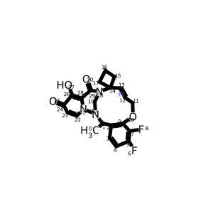 CC1c2ccc(F)c(F)c2OC/C=C/C2(CCC2)N2CN1n1ccc(=O)c(O)c1C2=O